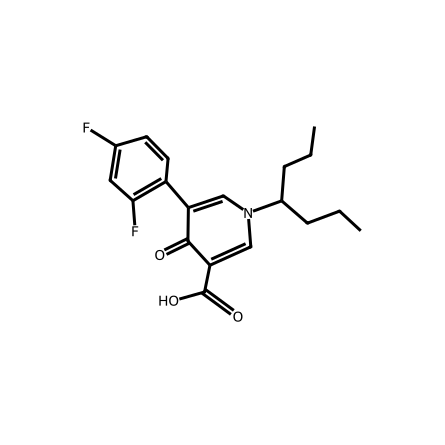 CCCC(CCC)n1cc(C(=O)O)c(=O)c(-c2ccc(F)cc2F)c1